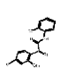 O=C(Nc1ccccc1C(F)(F)F)N(S)c1ccc(Cl)cc1O